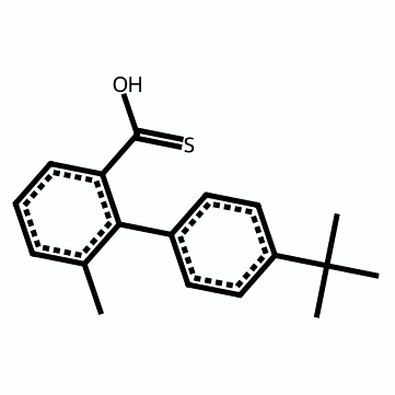 Cc1cccc(C(O)=S)c1-c1ccc(C(C)(C)C)cc1